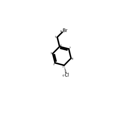 Cl[C@@H]1C=CC(CBr)=CC1